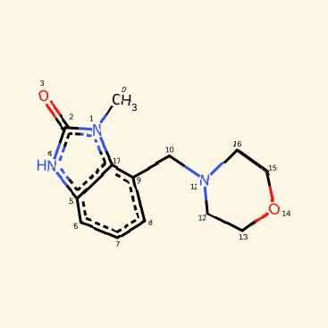 Cn1c(=O)[nH]c2cccc(CN3CCOCC3)c21